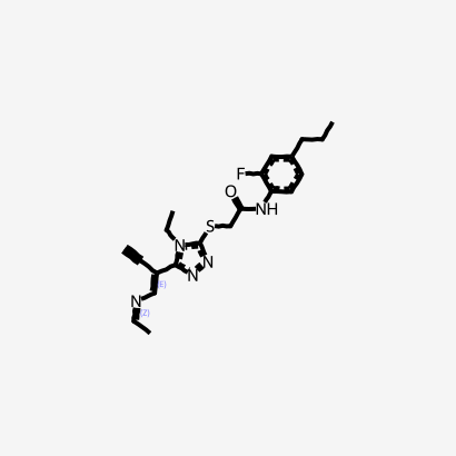 C#C/C(=C\N=C/C)c1nnc(SCC(=O)Nc2ccc(CCC)cc2F)n1CC